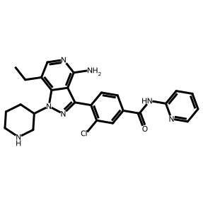 CCc1cnc(N)c2c(-c3ccc(C(=O)Nc4ccccn4)cc3Cl)nn(C3CCCNC3)c12